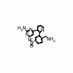 NCc1ccc([N+](=O)[O-])cc1-c1ncccc1-c1ccnc(N)n1